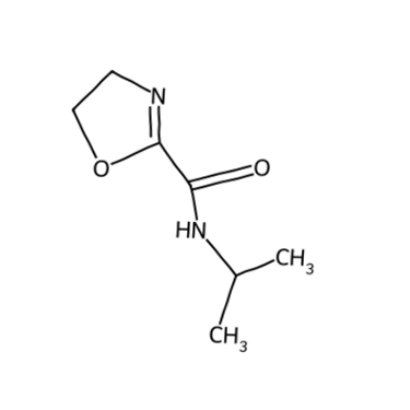 CC(C)NC(=O)C1=NCCO1